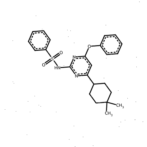 CC1(C)CCC(c2cc(Oc3ccccc3)nc(NS(=O)(=O)c3ccccc3)n2)CC1